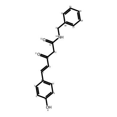 O=C(C=Cc1ccc(O)cc1)CC(=O)NCc1ccccc1